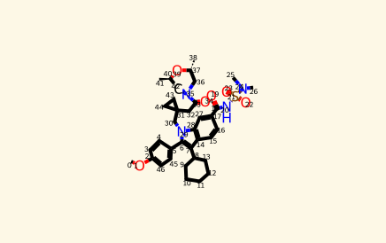 COc1ccc(-c2c(C3CCCCC3)c3ccc(C(=O)NS(=O)(=O)N(C)C)cc3n2CC2(CC(=O)N3C[C@@H](C)O[C@H](C)C3)CC2)cc1